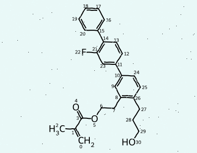 C=C(C)C(=O)OCCc1cc(-c2ccc(-c3ccccc3)c(F)c2)ccc1CCCO